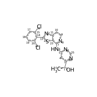 C[C@H](O)c1cc(Nc2nccc3nc(-c4c(Cl)cccc4Cl)sc23)ncn1